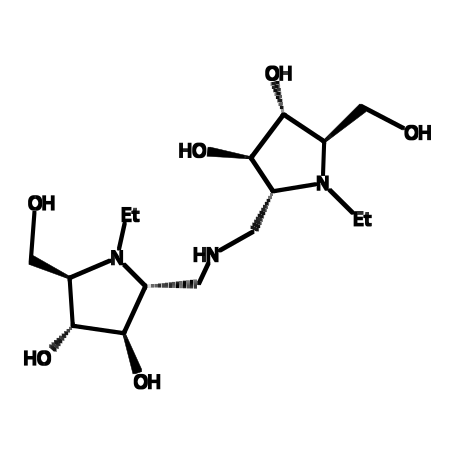 CCN1[C@H](CO)[C@@H](O)[C@H](O)[C@H]1CNC[C@@H]1[C@@H](O)[C@H](O)[C@@H](CO)N1CC